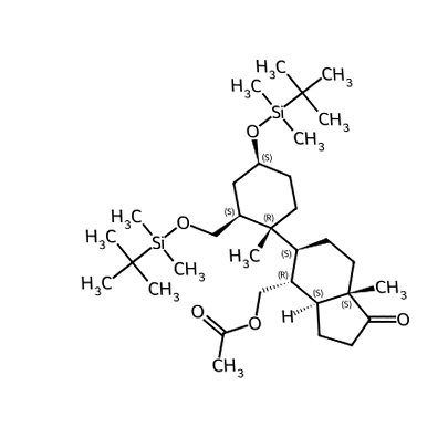 CC(=O)OC[C@@H]1[C@@H]([C@@]2(C)CC[C@H](O[Si](C)(C)C(C)(C)C)C[C@@H]2CO[Si](C)(C)C(C)(C)C)CC[C@]2(C)C(=O)CC[C@@H]12